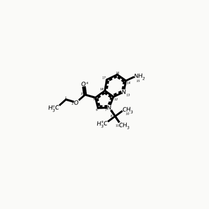 CCOC(=O)c1cn(C(C)(C)C)c2nc(N)ccc12